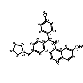 COc1ccc2nccc(NC(c3ccc(Cl)cc3)c3ccc(CN4CCCC4)cc3)c2c1